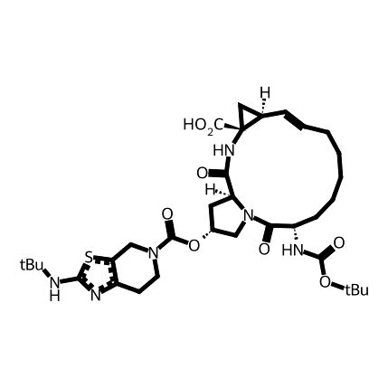 CC(C)(C)Nc1nc2c(s1)CN(C(=O)O[C@@H]1C[C@H]3C(=O)N[C@]4(C(=O)O)C[C@H]4/C=C/CCCCC[C@H](NC(=O)OC(C)(C)C)C(=O)N3C1)CC2